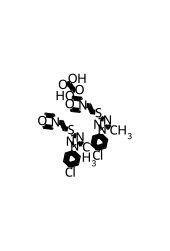 Cc1nc(SCCN2CCOCC2)nn1-c1ccc(Cl)cc1.Cc1nc(SCCN2CCOCC2)nn1-c1ccc(Cl)cc1.O=C(O)C(=O)O